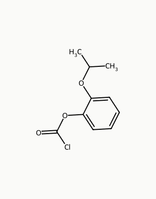 CC(C)Oc1ccccc1OC(=O)Cl